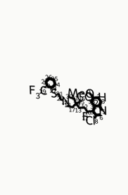 COc1ccc2ncc(Cl)c([C@H](F)CCC3(CC(=O)O)CCN(CCSc4ccccc4C(F)(F)F)CC3)c2c1